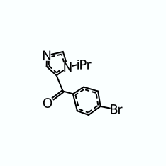 CC(C)n1cncc1C(=O)c1ccc(Br)cc1